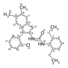 CCc1cccc(CC)c1NC(=O)Nc1sc2cc(C)c(C)cc2c1-c1ccccc1Cl